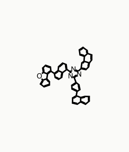 c1ccc2c(-c3ccc(-c4nc(-c5ccc6ccc7ccccc7c6c5)nc(-c5cccc6c(-c7cccc8oc9ccccc9c78)cccc56)n4)cc3)cccc2c1